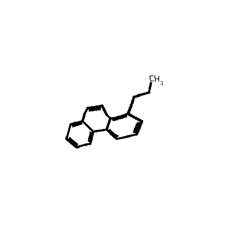 CCCc1cccc2c1ccc1ccccc12